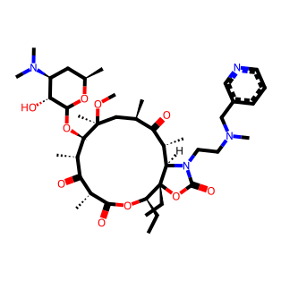 CC[C@H]1OC(=O)[C@H](C)C(=O)[C@H](C)[C@@H](OC2O[C@H](C)C[C@H](N(C)C)[C@H]2O)[C@@](C)(OC)C[C@@H](C)C(=O)[C@H](C)[C@H]2N(CCN(C)Cc3cccnc3)C(=O)O[C@]12CC